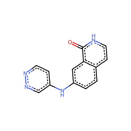 O=c1[nH]ccc2ccc(Nc3ccnnc3)cc12